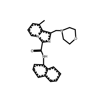 Cc1cccn2c(C(=O)Nc3cccc4ccccc34)nc(CN3CCOCC3)c12